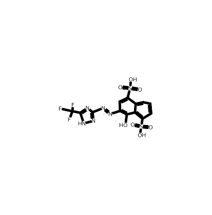 O=S(=O)(O)c1cc(/N=N/c2n[nH]c(C(F)(F)F)n2)c(O)c2c(S(=O)(=O)O)cccc12